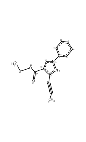 CC#Cc1nn(-c2ccccc2)cc1C(=O)OCC